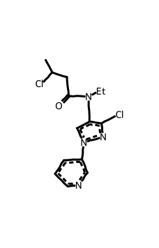 CCN(C(=O)CC(C)Cl)c1cn(-c2cccnc2)nc1Cl